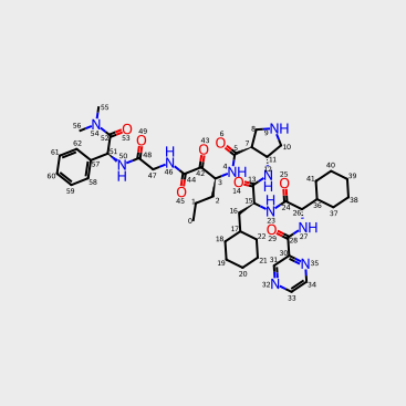 CCC[C@H](NC(=O)[C@H]1CNC[C@@H]1NC(=O)[C@H](CC1CCCCC1)NC(=O)[C@@H](NC(=O)c1cnccn1)C1CCCCC1)C(=O)C(=O)NCC(=O)N[C@H](C(=O)N(C)C)c1ccccc1